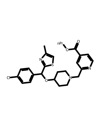 CCCOC(=O)c1ccnc(CN2CCC(OC(c3ccc(Cl)cc3)c3nc(C)cs3)CC2)c1